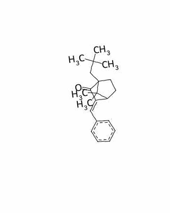 CC(C)(C)CC12CCC(C(=Cc3ccccc3)C1=O)C2(C)C